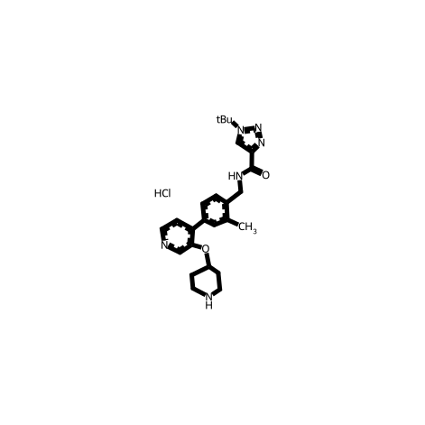 Cc1cc(-c2ccncc2OC2CCNCC2)ccc1CNC(=O)c1cn(C(C)(C)C)nn1.Cl